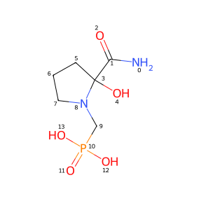 NC(=O)C1(O)CCCN1CP(=O)(O)O